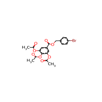 CC(=O)Oc1cc(C(=O)OCc2ccc(Br)cc2)cc(OC(C)=O)c1OC(C)=O